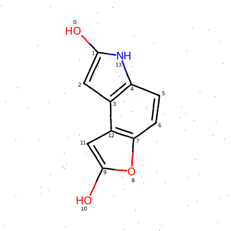 Oc1cc2c(ccc3oc(O)cc32)[nH]1